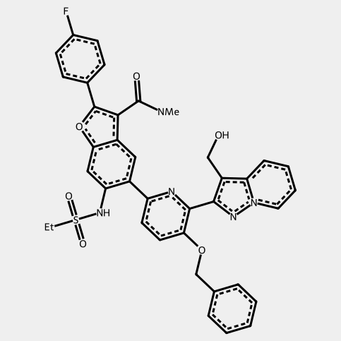 CCS(=O)(=O)Nc1cc2oc(-c3ccc(F)cc3)c(C(=O)NC)c2cc1-c1ccc(OCc2ccccc2)c(-c2nn3ccccc3c2CO)n1